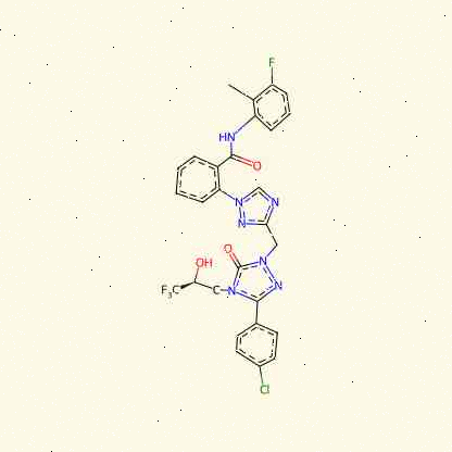 Cc1c(F)cccc1NC(=O)c1ccccc1-n1cnc(Cn2nc(-c3ccc(Cl)cc3)n(C[C@H](O)C(F)(F)F)c2=O)n1